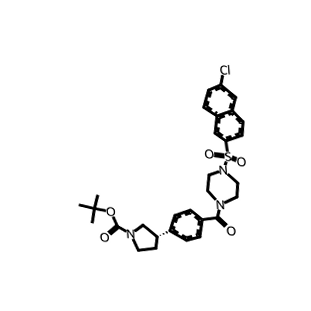 CC(C)(C)OC(=O)N1CC[C@@H](c2ccc(C(=O)N3CCN(S(=O)(=O)c4ccc5cc(Cl)ccc5c4)CC3)cc2)C1